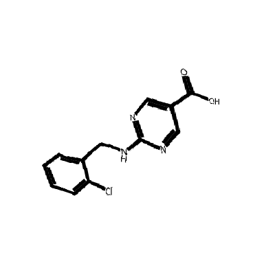 O=C(O)c1cnc(NCc2ccccc2Cl)nc1